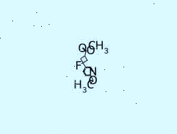 COC(=O)C1CC(F)(c2ccc(OC)nc2)C1